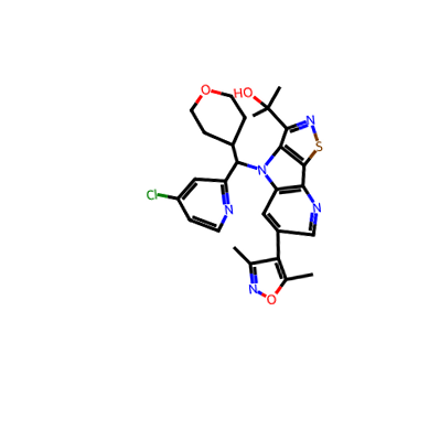 Cc1noc(C)c1-c1cnc2c3snc(C(C)(C)O)c3n(C(c3cc(Cl)ccn3)C3CCOCC3)c2c1